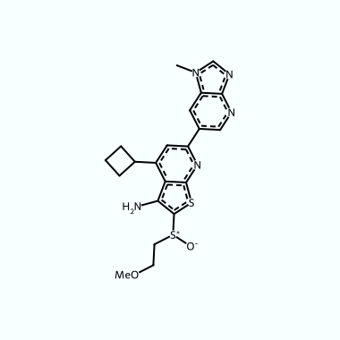 COCC[S+]([O-])c1sc2nc(-c3cnc4ncn(C)c4c3)cc(C3CCC3)c2c1N